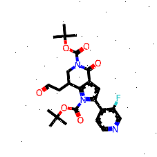 CC(C)(C)OC(=O)N1CC(CC=O)c2c(cc(-c3ccncc3F)n2C(=O)OC(C)(C)C)C1=O